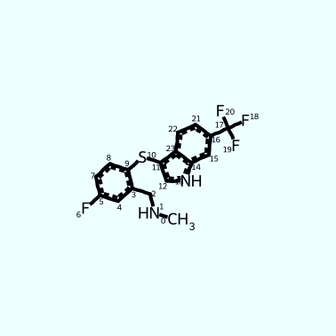 CNCc1cc(F)ccc1Sc1c[nH]c2cc(C(F)(F)F)ccc12